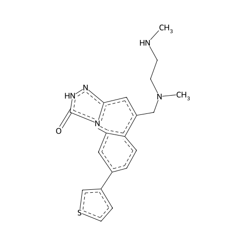 CNCCN(C)Cc1cc2n[nH]c(=O)n2c2cc(-c3ccsc3)ccc12